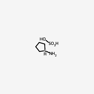 N[SH]1CCCC1.O=S(=O)(O)O